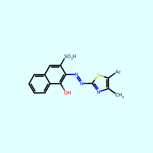 CC(=O)c1sc(N=Nc2c(S(=O)(=O)O)cc3ccccc3c2O)nc1C